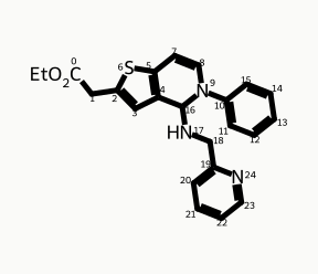 CCOC(=O)Cc1cc2c(s1)C=CN(c1ccccc1)C2NCc1ccccn1